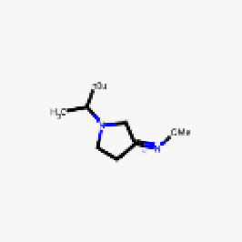 CCCCC(C)N1CC/C(=N/OC)C1